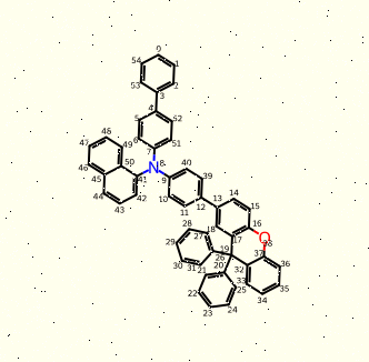 c1ccc(-c2ccc(N(c3ccc(-c4ccc5c(c4)C(c4ccccc4)(c4ccccc4)c4ccccc4O5)cc3)c3cccc4ccccc34)cc2)cc1